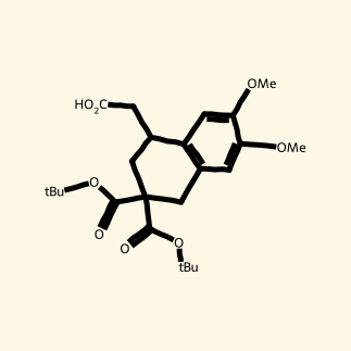 COc1cc2c(cc1OC)C(CC(=O)O)CC(C(=O)OC(C)(C)C)(C(=O)OC(C)(C)C)C2